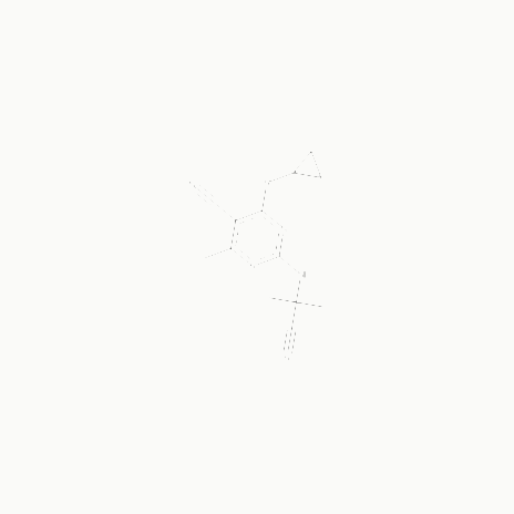 CC(C)(C#N)Nc1nc(Cl)c(C#N)c(NC2CC2)n1